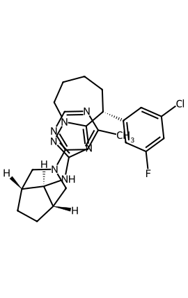 Cc1cc(N2C[C@H]3CC[C@@H](C2)[C@@H]3Nc2nc3n(n2)CCCC[C@@H]3c2cc(F)cc(Cl)c2)ncn1